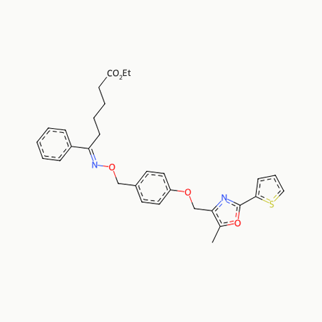 CCOC(=O)CCCC/C(=N\OCc1ccc(OCc2nc(-c3cccs3)oc2C)cc1)c1ccccc1